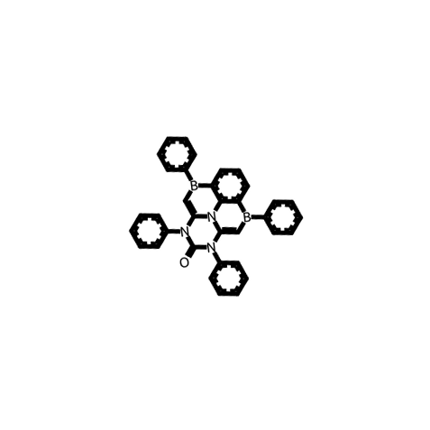 O=C1N(c2ccccc2)C2=CB(c3ccccc3)c3cccc4c3N2C(=CB4c2ccccc2)N1c1ccccc1